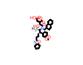 C[C@H]([C@H](C/C=C/c1nc2ccccc2o1)c1ccc2c(c1)OCO2)N(Cc1ccc2ccccc2c1)C(=O)C(O)C(=CC(=O)O)C(=O)O